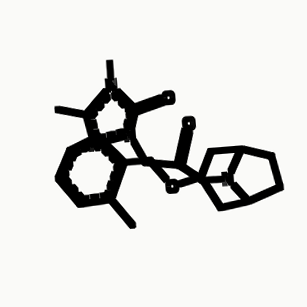 Cc1ccccc1COC1CC2CCC(C1)N2CC(=O)Cn1nc(C)n(C)c1=O